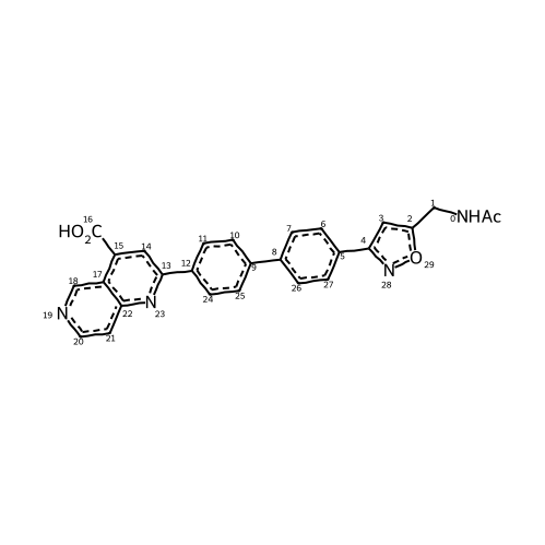 CC(=O)NCc1cc(-c2ccc(-c3ccc(-c4cc(C(=O)O)c5cnccc5n4)cc3)cc2)no1